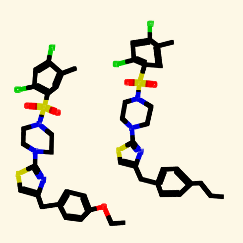 CCCc1ccc(Cc2csc(N3CCN(S(=O)(=O)c4cc(C)c(Cl)cc4Cl)CC3)n2)cc1.CCOc1ccc(Cc2csc(N3CCN(S(=O)(=O)c4cc(C)c(Cl)cc4Cl)CC3)n2)cc1